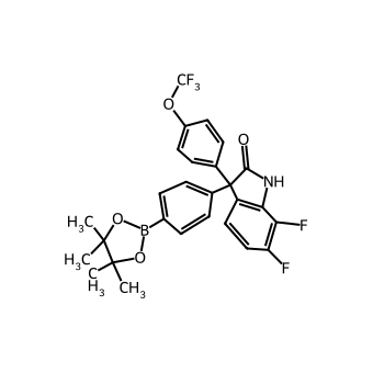 CC1(C)OB(c2ccc(C3(c4ccc(OC(F)(F)F)cc4)C(=O)Nc4c3ccc(F)c4F)cc2)OC1(C)C